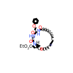 CCOC(=O)[C@@H]1C[C@@]23COCCC/C=C/CCCCCCCCC(=O)N[C@@H](CCOc4ccccc4)C(=O)NCC(=O)N1[C@H]2C3